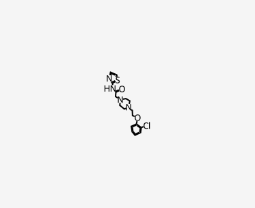 O=C(CN1CCN(CCOc2ccccc2Cl)CC1)Nc1nccs1